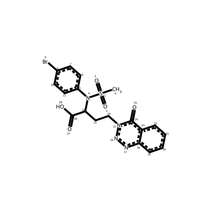 CS(=O)(=O)N(c1ccc(Br)cc1)C(CCn1nnc2ccccc2c1=O)C(=O)O